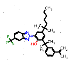 C=C(C)c1cccc(C(C)(C)c2cc(C(C)(C)CCCCC)cc(-n3nc4ccc(C(F)(F)F)cc4n3)c2O)c1